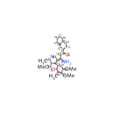 COC(=O)c1c(C)nc2sc(C(=O)c3ccc4ccccc4c3)c(N)c2c1-c1cc(C)c(OC)c(OC)c1